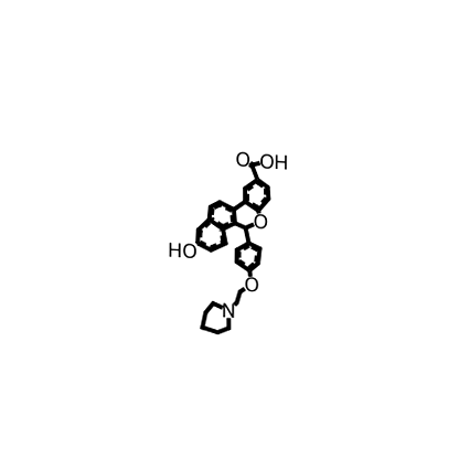 O=C(O)c1ccc2c(c1)-c1ccc3cc(O)ccc3c1C(c1ccc(OCCN3CCCCC3)cc1)O2